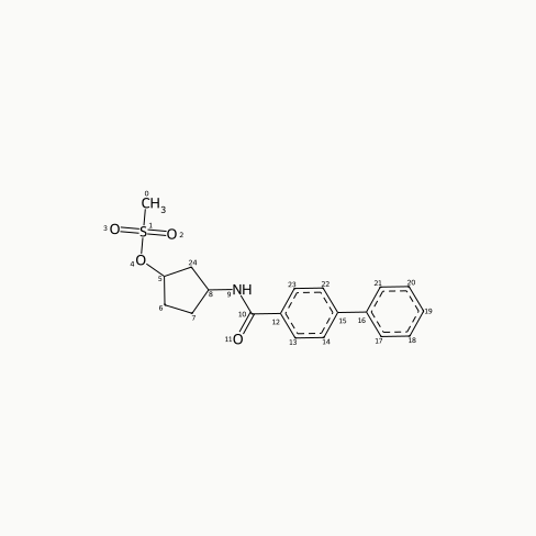 CS(=O)(=O)OC1CCC(NC(=O)c2ccc(-c3ccccc3)cc2)C1